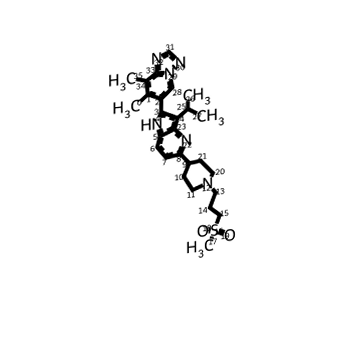 Cc1c(-c2[nH]c3ccc(C4CCN(CCCS(C)(=O)=O)CC4)nc3c2C(C)C)cn2ncnc2c1C